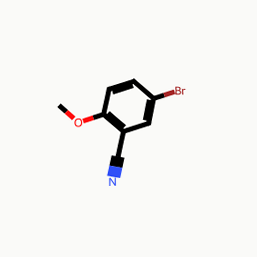 COc1c[c]c(Br)cc1C#N